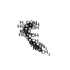 C[C@H]1CC[C@@]2(OC1)O[C@H]1C[C@H]3[C@@H]4CC=C5C[C@@H](O[C@@H]6O[C@H](CO)[C@@H](O[C@@H]7O[C@H](CO)[C@@H](O)[C@H](O)[C@H]7O[C@@H]7O[C@@H](C)[C@H](O)[C@@H](O)[C@H]7O)[C@H](O)[C@H]6O)CC[C@]5(C)[C@H]4CC[C@]3(C)[C@H]1[C@@H]2C